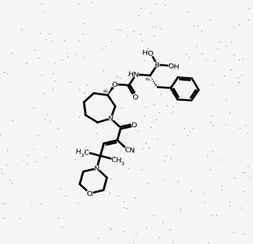 CC(C)(C=C(C#N)C(=O)N1CCCC[C@@H](OC(=O)N[C@@H](Cc2ccccc2)B(O)O)C1)N1CCOCC1